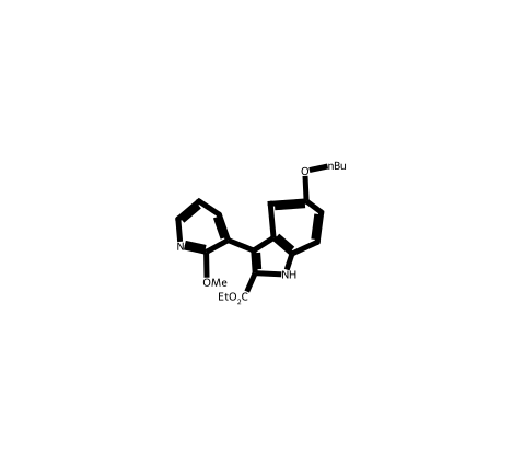 CCCCOc1ccc2[nH]c(C(=O)OCC)c(-c3cccnc3OC)c2c1